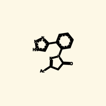 CC(=O)C1=NN(c2ccccc2-c2c[nH]nn2)C(=O)C1